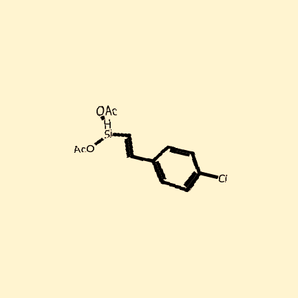 CC(=O)O[SiH](C=Cc1ccc(Cl)cc1)OC(C)=O